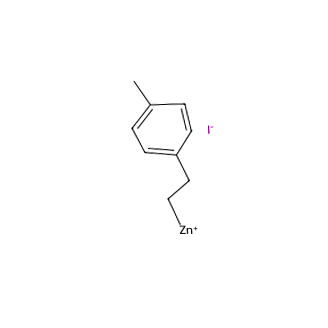 Cc1ccc(C[CH2][Zn+])cc1.[I-]